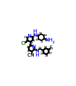 N#Cc1ccc(-c2cc(NC3CCC(N)CC3)ncc2Cl)nc1NCc1cccc(F)c1